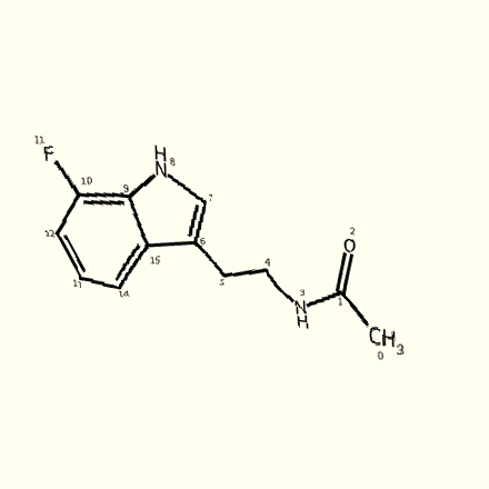 CC(=O)NCCc1c[nH]c2c(F)cccc12